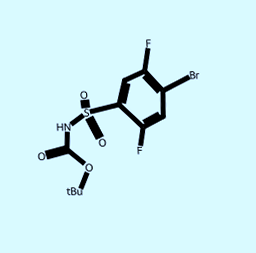 CC(C)(C)OC(=O)NS(=O)(=O)c1cc(F)c(Br)cc1F